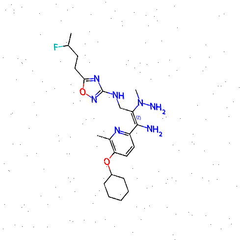 Cc1nc(/C(N)=C(\CNc2noc(CCC(C)F)n2)N(C)N)ccc1OC1CCCCC1